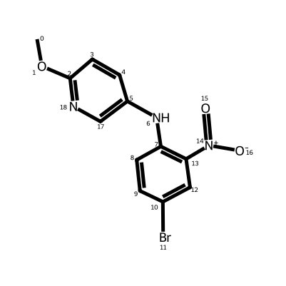 COc1ccc(Nc2ccc(Br)cc2[N+](=O)[O-])cn1